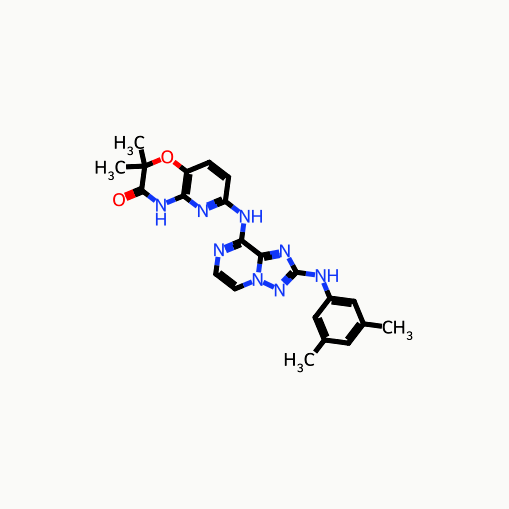 Cc1cc(C)cc(Nc2nc3c(Nc4ccc5c(n4)NC(=O)C(C)(C)O5)nccn3n2)c1